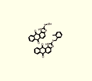 CCCCSc1nc2ccc3c(c2[nH]1)C(=O)c1ccccc1C3=O.Cc1ccccc1CSc1nc2ccc3c(c2[nH]1)C(=O)c1ccccc1C3=O